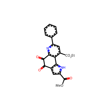 CCOC(=O)c1cc(-c2ccccc2)nc2c1-c1[nH]c(C(=O)OC)cc1C(=O)C2=O